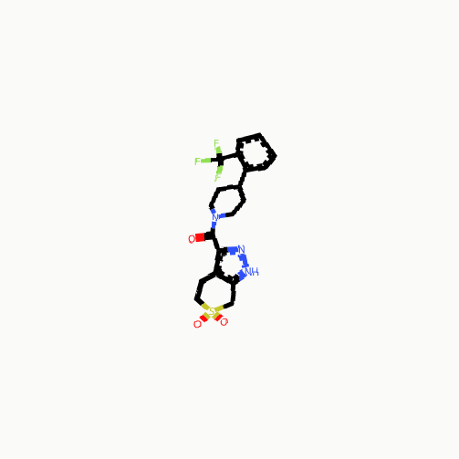 O=C(c1n[nH]c2c1CCS(=O)(=O)C2)N1CCC(c2ccccc2C(F)(F)F)CC1